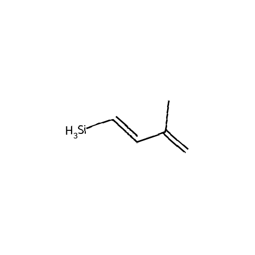 C=C(C)C=C[SiH3]